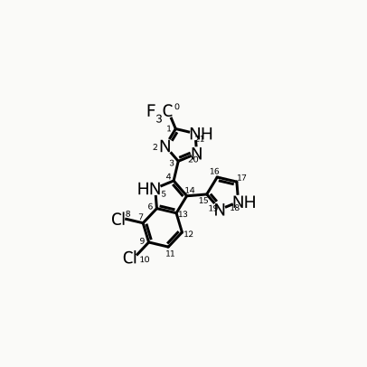 FC(F)(F)c1nc(-c2[nH]c3c(Cl)c(Cl)ccc3c2-c2cc[nH]n2)n[nH]1